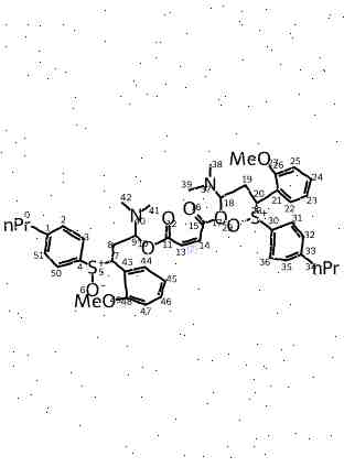 CCCc1ccc([S+]([O-])C(CC(OC(=O)/C=C\C(=O)OC(CC(c2ccccc2OC)[S+]([O-])c2ccc(CCC)cc2)N(C)C)N(C)C)c2ccccc2OC)cc1